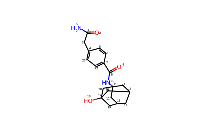 NC(=O)Cc1ccc(C(=O)NC23CC4CC(CC(O)(C4)C2)C3)cc1